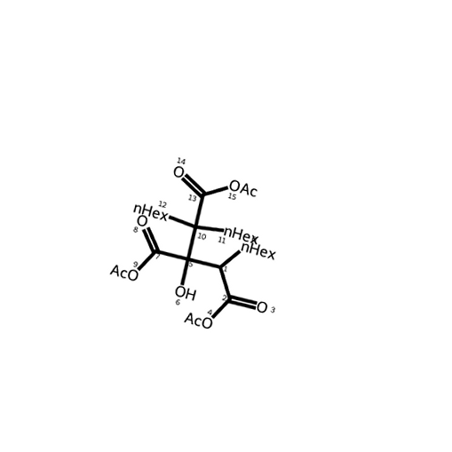 CCCCCCC(C(=O)OC(C)=O)C(O)(C(=O)OC(C)=O)C(CCCCCC)(CCCCCC)C(=O)OC(C)=O